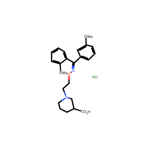 COc1cccc(C(=NOCCN2CCCC(C(=O)O)C2)c2ccccc2OC)c1.Cl